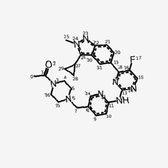 CC(=O)N1CCN(Cc2ccc(Nc3ncc(F)c(-c4ccc5nn(C)c(C6CC6)c5c4)n3)nc2)CC1